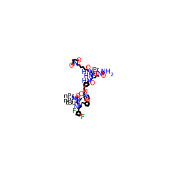 CCCN(CCC)C(=O)N(CC[C@H]1COCCN1C(=O)OCc1ccc(NC(=O)[C@H](CCCNC(N)=O)NC(=O)[C@@H](NC(=O)CCCCCN2C(=O)C=CC2=O)C(C)C)cc1)[C@@H](c1nc(-c2cc(F)ccc2F)cn1Cc1ccccc1)C(C)(C)C